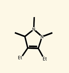 CCC1=C(CC)N(C)N(C)C1C